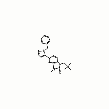 Cn1c(=O)n(CC(C)(C)C)c2ccc(-c3ccnn3Cc3ccccc3)cc21